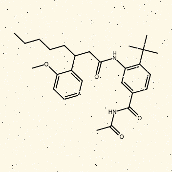 CCCCCC(CC(=O)Nc1cc(C(=O)NC(C)=O)ccc1C(C)(C)C)c1ccccc1OC